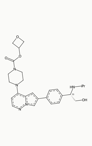 CC(C)N[C@H](CO)c1ccc(-c2cc3c(N4CCN(C(=O)OC5COC5)CC4)ccnn3c2)cc1